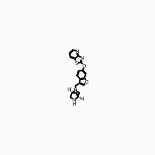 c1cnc2nc(Oc3ccc4c(CN5C[C@@H]6C[C@H]5CN6)coc4c3)sc2c1